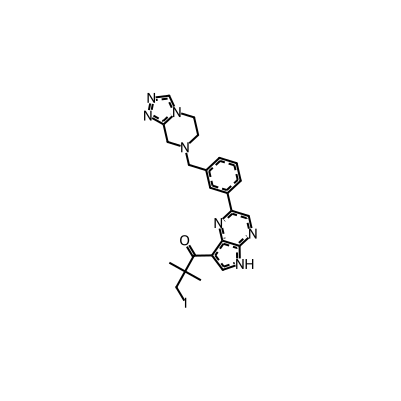 CC(C)(CI)C(=O)c1c[nH]c2ncc(-c3cccc(CN4CCn5cnnc5C4)c3)nc12